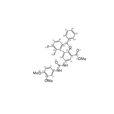 COC(=O)c1cc(NC(=O)Nc2ccc(OC)c(OC)c2)ccc1OC(c1ccccc1)c1ccc(F)c(F)c1